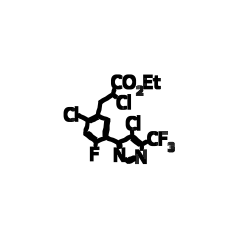 CCOC(=O)C(Cl)Cc1cc(-c2ncnc(C(F)(F)F)c2Cl)c(F)cc1Cl